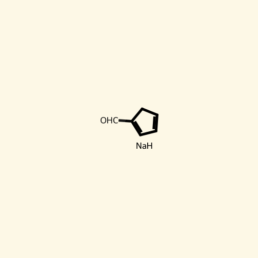 O=CC1=CC=CC1.[NaH]